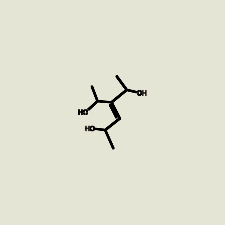 CC(O)C=C(C(C)O)C(C)O